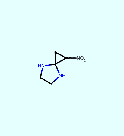 O=[N+]([O-])C1CC12NCCN2